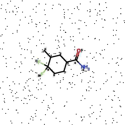 CC1CC(C(N)=O)CCC1(F)F